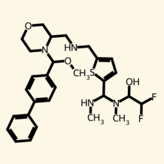 CNC(c1ccc(CNCC2COCCN2C(OC)c2ccc(-c3ccccc3)cc2)s1)N(C)C(O)C(F)F